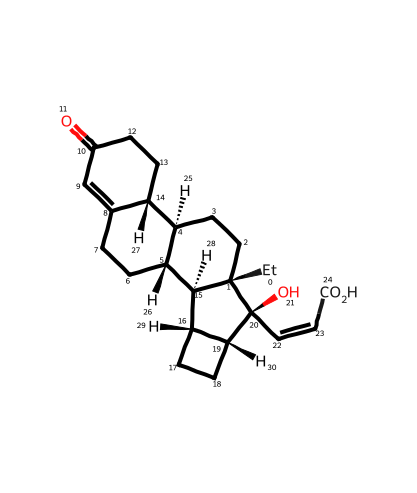 CC[C@]12CC[C@H]3[C@@H](CCC4=CC(=O)CC[C@@H]43)[C@@H]1[C@H]1CC[C@H]1[C@@]2(O)/C=C\C(=O)O